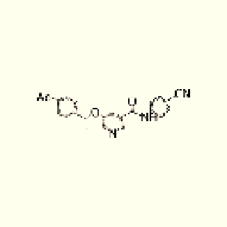 CC(=O)c1ccc(C(C)Oc2cncc(C(=O)Nc3ccc(C#N)cc3)c2)cc1